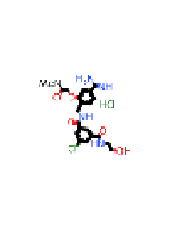 CNC(=O)COc1cc(C(=N)N)ccc1CNC(=O)c1cc(Cl)cc(C(=O)NCCO)c1.Cl